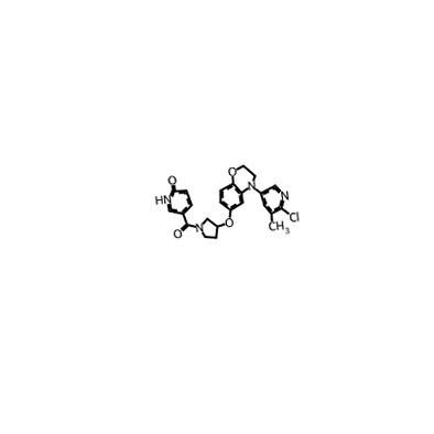 Cc1cc(N2CCOc3ccc(OC4CCN(C(=O)c5ccc(=O)[nH]c5)C4)cc32)cnc1Cl